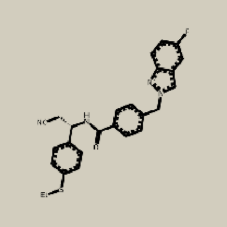 CCSc1ccc([C@H](CC#N)NC(=O)c2ccc(Cn3cc4cc(F)ccc4n3)cc2)cc1